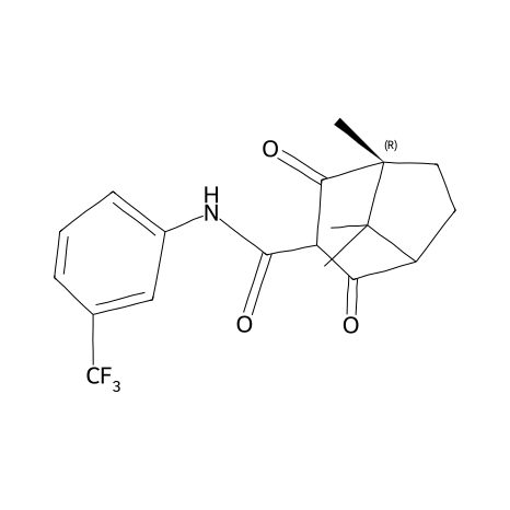 CC1(C)C2CC[C@@]1(C)C(=O)C(C(=O)Nc1cccc(C(F)(F)F)c1)C2=O